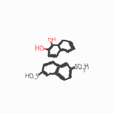 O=S(=O)(O)c1ccc2cc(S(=O)(=O)O)ccc2c1.Oc1ccc2ccccc2c1O